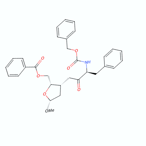 CO[C@H]1C[C@@H](CC(=O)[C@H](Cc2ccccc2)NC(=O)OCc2ccccc2)[C@@H](COC(=O)c2ccccc2)O1